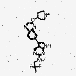 CN1CCC(Oc2cnc3ccc(-c4c[nH]c5nc(NCC(C)(F)F)ncc45)cc3n2)CC1